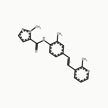 Cc1cc(/C=C/c2cccnc2C)ccc1NC(=O)c1ccnn1C